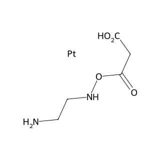 NCCNOC(=O)CC(=O)O.[Pt]